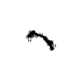 O=C(CNc1cccc2c1C(=O)N(C1CCC(=O)NC1=O)C2=O)NCCCCCCN1CCN(c2ccc(-c3ncc(NCc4ccco4)n4cnnc34)cc2)CC1